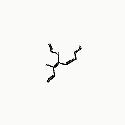 C=C/C=C\C(SC=C)=C(\C)C=C